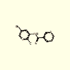 O=C(Nc1cc(Br)cnc1Cl)c1cccnc1